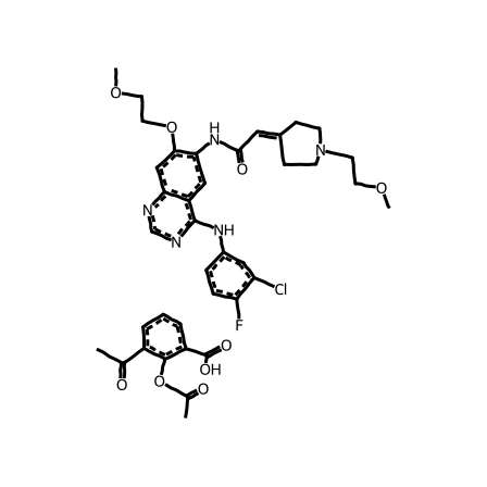 CC(=O)Oc1c(C(C)=O)cccc1C(=O)O.COCCOc1cc2ncnc(Nc3ccc(F)c(Cl)c3)c2cc1NC(=O)C=C1CCN(CCOC)CC1